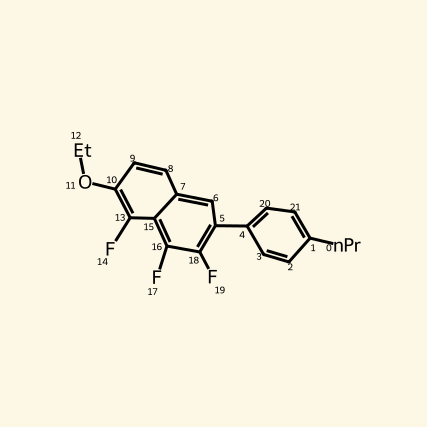 CCCc1ccc(-c2cc3ccc(OCC)c(F)c3c(F)c2F)cc1